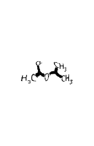 CC(C)OC(C)[O]